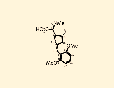 CNC(C(=O)O)[C@@H]1OC(Sc2c(OC)cccc2OC)C[C@H]1C